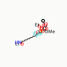 CCNC(=O)CCCCCCCCCCC(F)(F)C(F)(F)OC(F)(F)C(F)(F)S(=O)(=O)OC1C(OC)OC2COC(c3ccccc3)OC2C1OCOCC